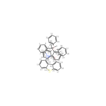 CC1(C)c2ccccc2N(c2cccc3sc4cccc(B5c6ccccc6B(c6ccccc6)c6ccccc65)c4c23)c2ccccc21